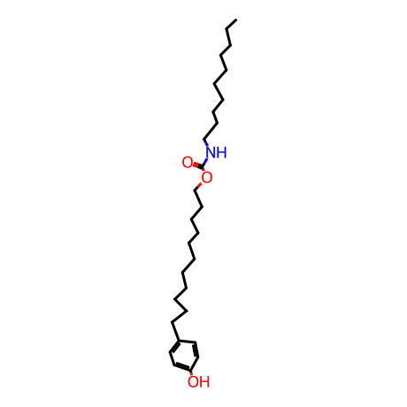 CCCCCCCCCCNC(=O)OCCCCCCCCCCCc1ccc(O)cc1